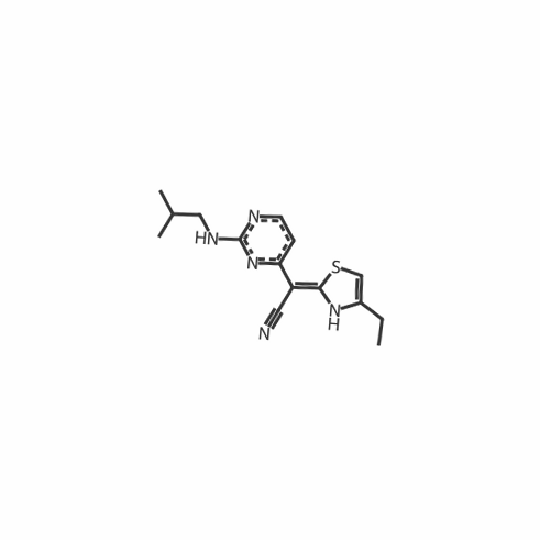 CCC1=CSC(=C(C#N)c2ccnc(NCC(C)C)n2)N1